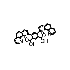 O=C(O)c1cc(C(=O)O)c(-c2ccc3ccc4cccnc4c3n2)cc1-c1ccc2ccc3cccnc3c2n1